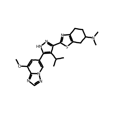 COc1cc(-c2[nH]nc(-c3nc4c(s3)CC(N(C)C)CC4)c2C(C)C)cn2ncnc12